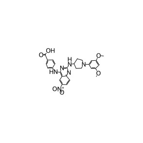 COc1cc(OC)cc(N2CCC(Nc3nc(Nc4ccc(C(=O)O)cc4)c4cc([N+](=O)[O-])ccc4n3)CC2)c1